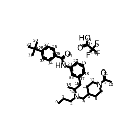 CCCN(CC1CCN(C(C)=O)CC1)C(C)Cc1cccc(NC(=O)c2ccc(C(C)(C)C)cc2)c1.O=C(O)C(F)(F)F